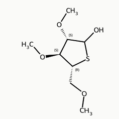 COC[C@H]1SC(O)[C@@H](OC)[C@@H]1OC